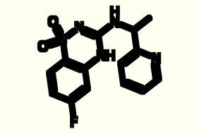 CC(NC1=NS(=O)(=O)c2ccc(F)cc2N1)c1ccccn1